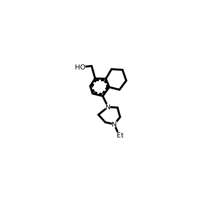 CCN1CCN(c2ccc(CO)c3c2CCCC3)CC1